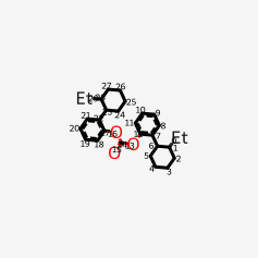 CCC1CCCCC1c1ccccc1OC(=O)Oc1ccccc1C1CCCCC1CC